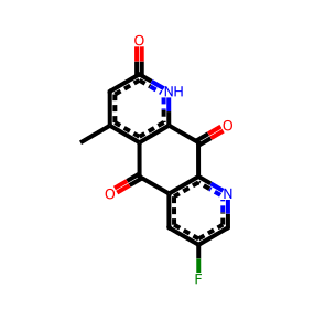 Cc1cc(=O)[nH]c2c1C(=O)c1cc(F)cnc1C2=O